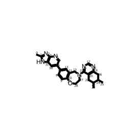 Cc1nc2ncc(-c3ccc4c(c3)CN(c3ncnc5c3CC(C)C(C)C5)CCO4)cc2[nH]1